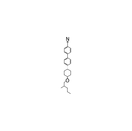 CCCC(C)CO[C@H]1CC[C@H](c2ccc(-c3ccc(C#N)cc3)cc2)CC1